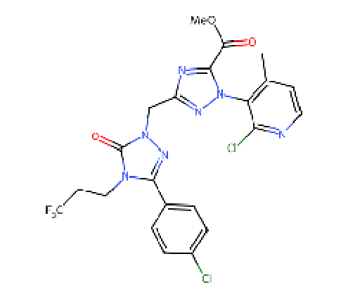 COC(=O)c1nc(Cn2nc(-c3ccc(Cl)cc3)n(CCC(F)(F)F)c2=O)nn1-c1c(C)ccnc1Cl